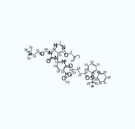 C=C(C)COc1ncnc2c1n(-c1ccc(C(=O)OC)c(OC(C)CCCO[Si](c3ccccc3)(c3ccccc3)C(C)(C)C)n1)c(=O)n2COCC[Si](C)(C)C